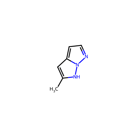 Cc1cc2ccnn2[nH]1